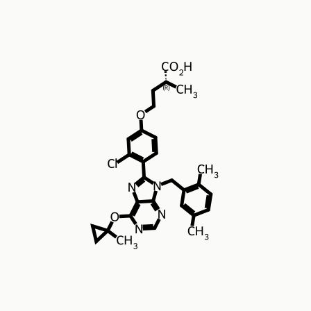 Cc1ccc(C)c(Cn2c(-c3ccc(OCC[C@@H](C)C(=O)O)cc3Cl)nc3c(OC4(C)CC4)ncnc32)c1